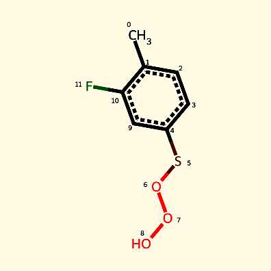 Cc1ccc(SOOO)cc1F